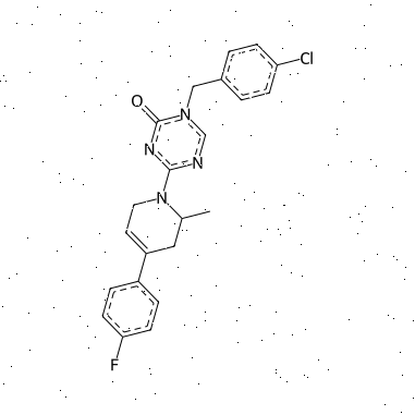 CC1CC(c2ccc(F)cc2)=CCN1c1ncn(Cc2ccc(Cl)cc2)c(=O)n1